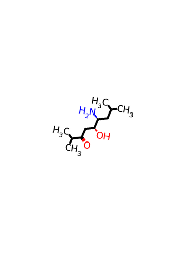 CC(C)C[C@H](N)[C@@H](O)CC(=O)C(C)C